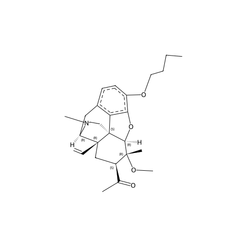 C=C[C@]12C[C@H](C(C)=O)[C@@](C)(OC)[C@@H]3Oc4c(OCCCC)ccc5c4[C@@]31CCN(C)[C@@H]2C5